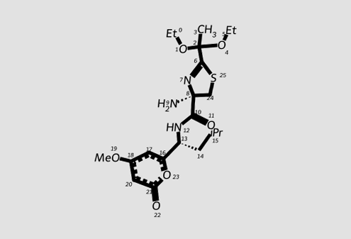 CCOC(C)(OCC)C1=N[C@](N)(C(=O)N[C@H](CC(C)C)c2cc(OC)cc(=O)o2)CS1